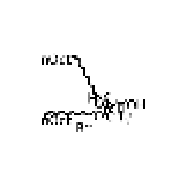 CCCCCCCC/C=C\CCCCCCCCOC(C)C(OCCCCCCCC/C=C\CCCCCCCC)[N+](C)(C)CCCO.[Br-]